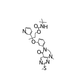 CSc1ncc2c(n1)N(C)CCN(c1cccc(OC(C)(CCOC(=O)NC(C)(C)C)c3cccnc3)c1)C2=O